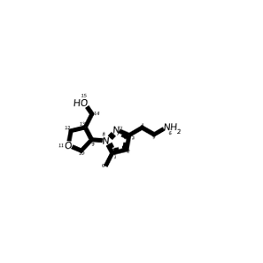 Cc1cc(CCN)nn1C1COCC1CO